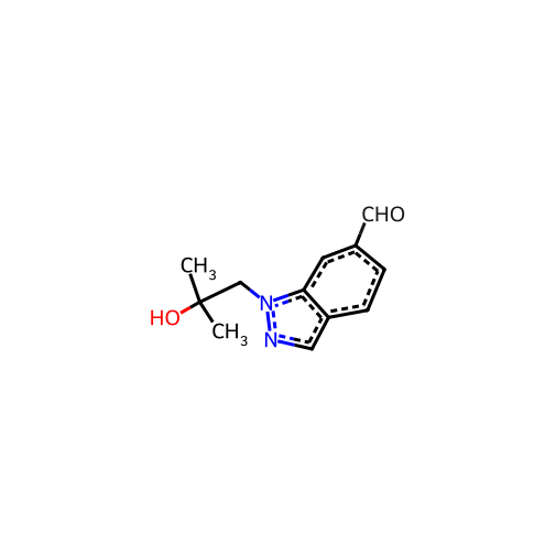 CC(C)(O)Cn1ncc2ccc(C=O)cc21